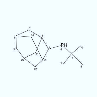 CC(C)(C)PC1C2CC3CC(C2)CC1C3